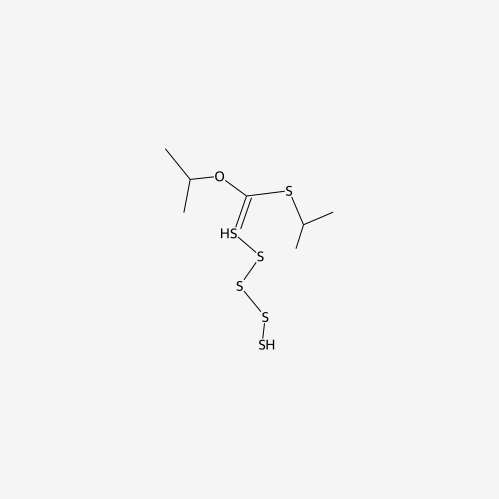 CC(C)OC(SC(C)C)=[SH]SSSS